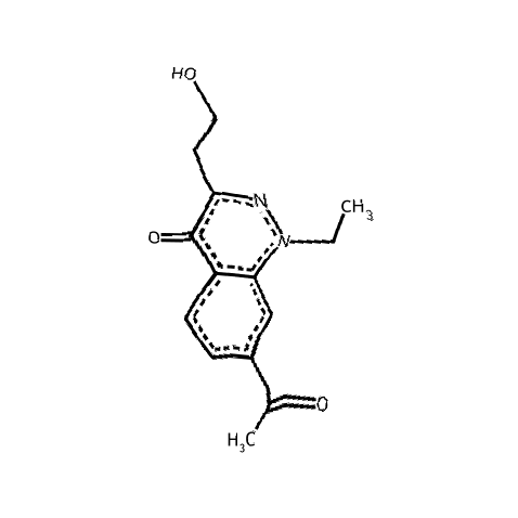 CCn1nc(CCO)c(=O)c2ccc(C(C)=O)cc21